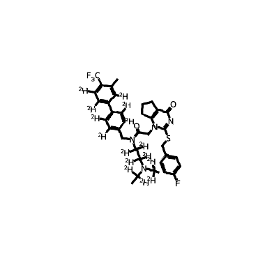 [2H]c1c([2H])c(-c2c([2H])c([2H])c(C(F)(F)F)c(C)c2[2H])c([2H])c([2H])c1CN(C(=O)Cn1c(SCc2ccc(F)cc2)nc(=O)c2c1CCC2)C([2H])([2H])C([2H])([2H])N(C([2H])([2H])C)C([2H])([2H])C